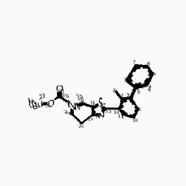 Cc1c(-c2ccccc2)cccc1-c1nc2c(s1)CN(C(=O)OC(C)(C)C)CC2